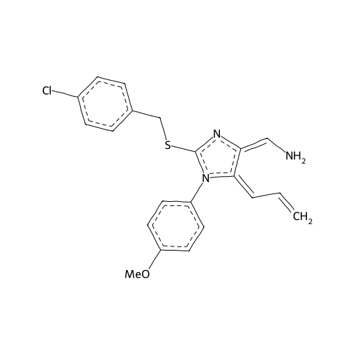 C=C/C=c1\c(=C/N)nc(SCc2ccc(Cl)cc2)n1-c1ccc(OC)cc1